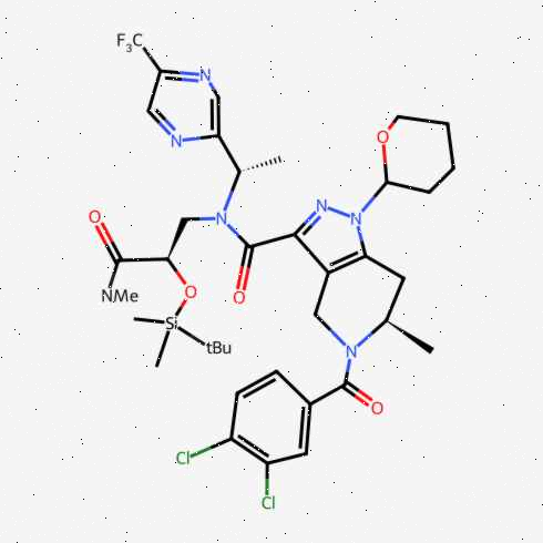 CNC(=O)[C@@H](CN(C(=O)c1nn(C2CCCCO2)c2c1CN(C(=O)c1ccc(Cl)c(Cl)c1)[C@H](C)C2)[C@@H](C)c1cnc(C(F)(F)F)cn1)O[Si](C)(C)C(C)(C)C